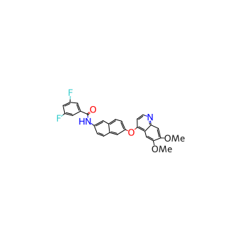 COc1cc2nccc(Oc3ccc4cc(NC(=O)c5cc(F)cc(F)c5)ccc4c3)c2cc1OC